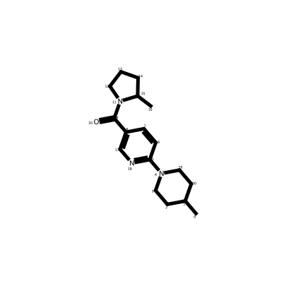 CC1CCN(c2ccc(C(=O)N3CCCC3C)cn2)CC1